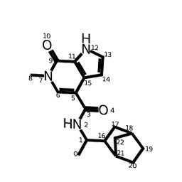 CC(NC(=O)c1cn(C)c(=O)c2[nH]ccc12)C1CC2CCC1C2